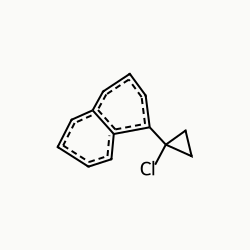 ClC1(c2cccc3ccccc23)CC1